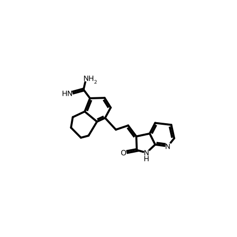 N=C(N)c1ccc(CC=C2C(=O)Nc3ncccc32)c2c1CCCC2